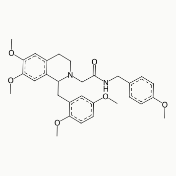 COc1ccc(CNC(=O)CN2CCc3cc(OC)c(OC)cc3C2Cc2cc(OC)ccc2OC)cc1